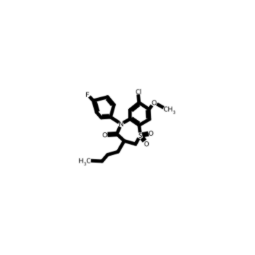 CCCCC1CS(=O)(=O)c2cc(OC)c(Cl)cc2N(c2ccc(F)cc2)C1=O